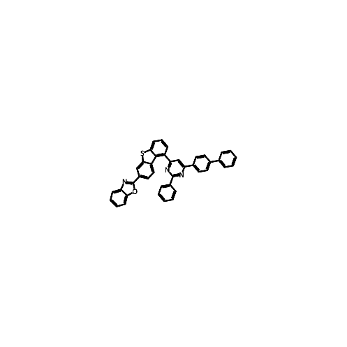 c1ccc(-c2ccc(-c3cc(-c4cccc5sc6cc(-c7nc8ccccc8o7)ccc6c45)nc(-c4ccccc4)n3)cc2)cc1